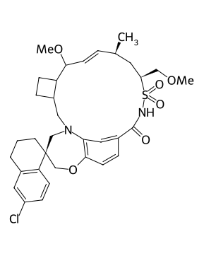 COC[C@@H]1C[C@H](C)/C=C/C(OC)C2CCC2CN2C[C@@]3(CCCc4cc(Cl)ccc43)COc3ccc(cc32)C(=O)NS1(=O)=O